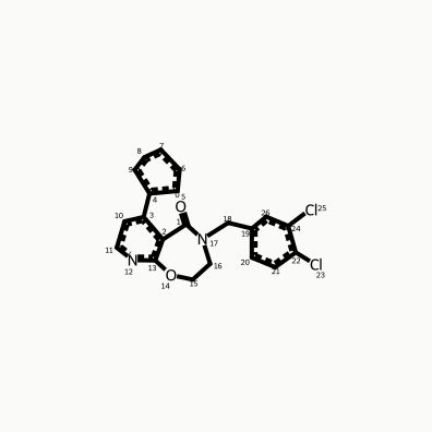 O=C1c2c(-c3ccccc3)ccnc2OCCN1Cc1ccc(Cl)c(Cl)c1